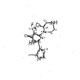 Cc1ncsc1-c1nc(N2CCNCC2C(F)(F)F)c(Cl)c(=O)[nH]1